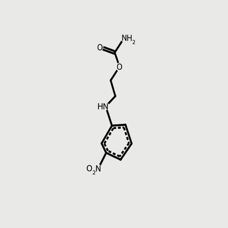 NC(=O)OCCNc1cccc([N+](=O)[O-])c1